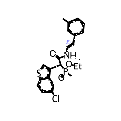 CCOP(C)(=O)C(C(=O)N/C=C/c1cccc(C)c1)c1csc2ccc(Cl)cc12